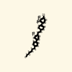 CCC/C=C/CCc1ccc(-c2ccc(CCC3CC=C(c4ccc(C)c(F)c4F)CC3)c(F)c2)cc1